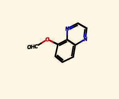 O=COc1cccc2nccnc12